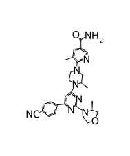 Cc1cc(C(N)=O)cnc1N1CCN(c2cc(-c3ccc(C#N)cc3)nc(N3CCOC[C@@H]3C)n2)[C@H](C)C1